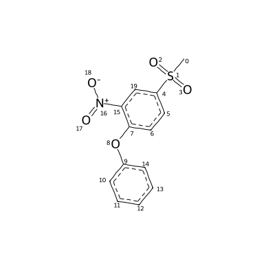 CS(=O)(=O)c1ccc(Oc2ccccc2)c([N+](=O)[O-])c1